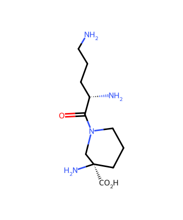 NCCC[C@H](N)C(=O)N1CCC[C@](N)(C(=O)O)C1